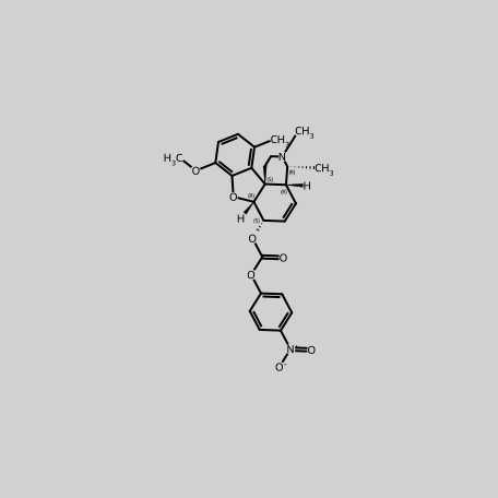 COc1ccc(C)c2c1O[C@H]1[C@@H](OC(=O)Oc3ccc([N+](=O)[O-])cc3)C=C[C@H]3[C@@H](C)N(C)CC[C@@]231